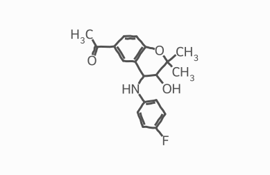 CC(=O)c1ccc2c(c1)C(Nc1ccc(F)cc1)C(O)C(C)(C)O2